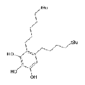 CC(C)(C)CCCCCc1c(CCCCC(C)(C)C)cc(O)c(O)c1O